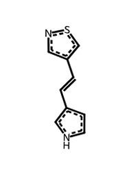 C(=C\c1cnsc1)/c1cc[nH]c1